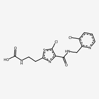 O=C(O)NCCc1nc(C(=O)NCc2ncccc2Cl)c(Cl)s1